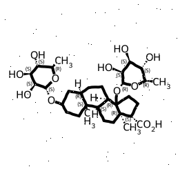 C[C@H]1O[C@H](OC23CC[C@H](C(=O)O)[C@@]2(C)CC[C@H]2[C@H]3CC[C@@H]3CC(O[C@H]4O[C@H](C)[C@@H](O)[C@H](O)[C@@H]4O)CC[C@@]32C)[C@@H](O)[C@@H](O)[C@@H]1O